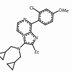 CCc1nc2c(-c3ccc(OC)cc3Cl)nccn2c1N(CC1CC1)CC1CC1